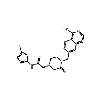 Nc1ncnc2cc(CN3CCN(CC(=O)Nc4ccc(Cl)s4)CC3=O)ccc12